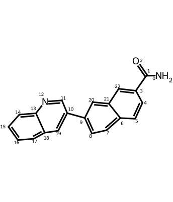 NC(=O)c1ccc2ccc(-c3cnc4ccccc4c3)cc2c1